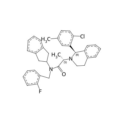 Cc1ccc(Cl)c([C@H]2c3ccccc3CCN2[C@@H](C)C(=O)N(Cc2ccccc2F)C2Cc3ccccc3C2)c1